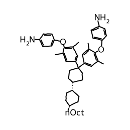 CCCCCCCC[C@H]1CC[C@H](C2CCC(c3cc(C)c(Oc4ccc(N)cc4)c(C)c3)(c3cc(C)c(Oc4ccc(N)cc4)c(C)c3)CC2)CC1